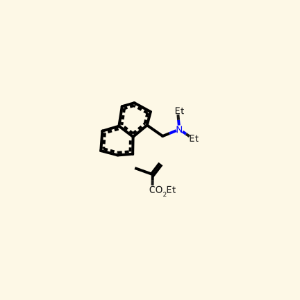 C=C(C)C(=O)OCC.CCN(CC)Cc1cccc2ccccc12